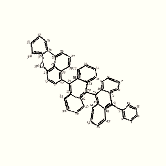 c1ccc(-c2c3ccccc3c(-c3c4ccccc4c(-c4ccc5c6c(cccc46)-c4ccccc4O5)c4ccccc34)c3ccccc23)cc1